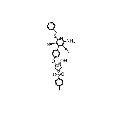 Cc1ccc(S(=O)(=O)N2C[C@H](Oc3ccc(-c4c(C#N)c(N)nc(SCc5ccccc5)c4C#N)cc3)[C@@H](O)C2)cc1